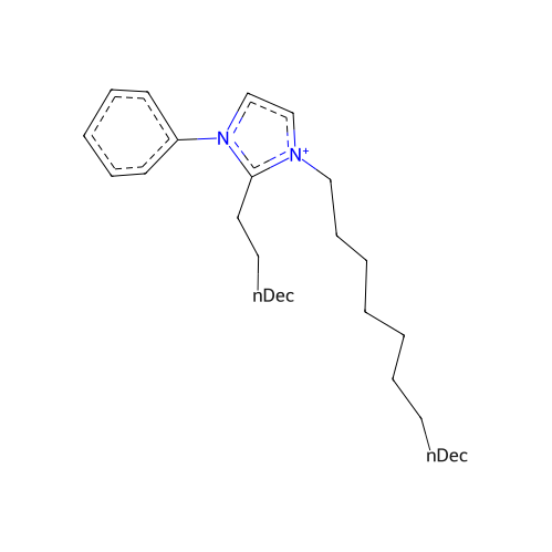 CCCCCCCCCCCCCCCCC[n+]1ccn(-c2ccccc2)c1CCCCCCCCCCCC